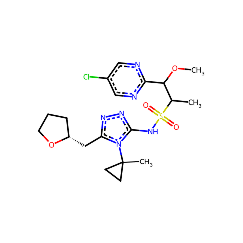 COC(c1ncc(Cl)cn1)C(C)S(=O)(=O)Nc1nnc(C[C@H]2CCCO2)n1C1(C)CC1